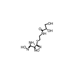 N/C(=N\O)c1nonc1SCCNC(=O)[C@H](O)CO